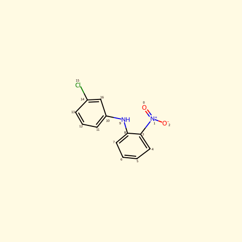 O=[N+]([O-])c1ccccc1Nc1cccc(Cl)c1